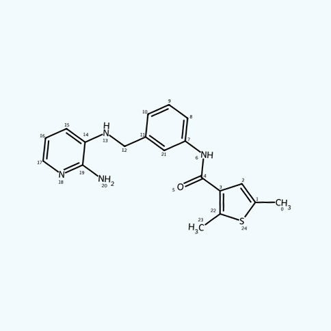 Cc1cc(C(=O)Nc2cccc(CNc3cccnc3N)c2)c(C)s1